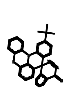 CC(C)(C)c1ccc2c(c1)N1c3ccccc3Sc3cccc(c31)C21c2ccccc2C(=O)c2ccccc21